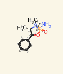 C[C@H]1C(c2ccccc2)OP(N)(=O)N1C